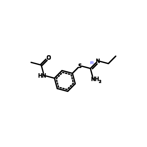 CC/N=C(\N)Sc1cccc(NC(C)=O)c1